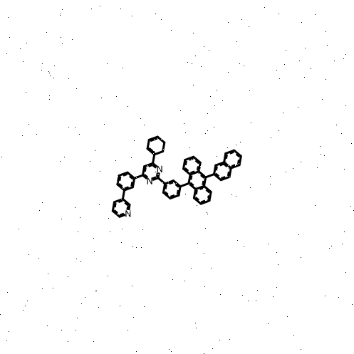 C1=CCCC(c2cc(-c3cccc(-c4cccnc4)c3)nc(-c3cccc(-c4c5ccccc5c(-c5ccc6ccccc6c5)c5ccccc45)c3)n2)=C1